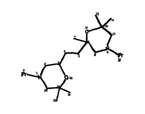 CC(C)N1CC(CCC2(C)CN(C(C)C)CC(C)(C)O2)OC(C)(C)C1